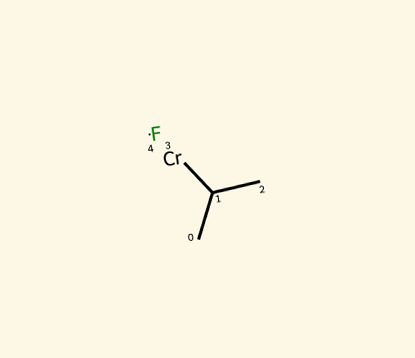 C[CH](C)[Cr].[F]